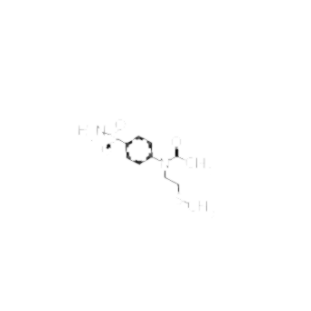 CSCCN(C(C)=O)c1ccc(S(N)(=O)=O)cc1